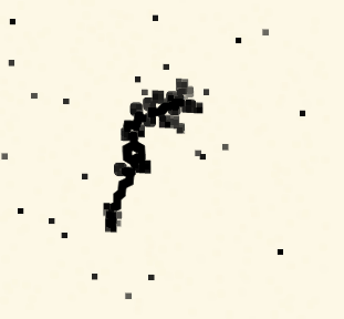 CC(C)(C)[Si](C)(C)OC[C@H](N)C(=O)OC(=O)c1csc(-c2ccc(NC(=O)CCCCCN=[N+]=[N-])cc2)n1